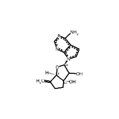 C=C1CC[C@]2(O)C(O)[C@H](n3ccc4c(N)ncnc43)O[C@H]12